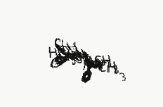 C=CC(=O)Nc1cc(NC2(C)N=CC=C(n3cc(CN(C)C)c(-c4ccccc4)n3)N2)c(OC)cc1N1CCOCC1